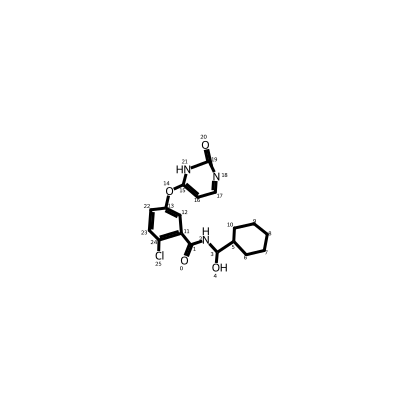 O=C(NC(O)C1CCCCC1)c1cc(Oc2ccnc(=O)[nH]2)ccc1Cl